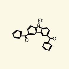 CCn1c2ccc(C(=O)c3ccccc3)cc2c2cc(C(=O)c3ccccc3)ccc21